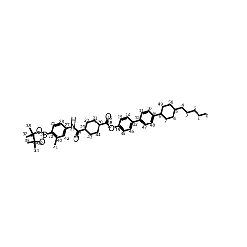 CCCCCC1CCC(c2ccc(-c3ccc(OC(=O)C4CCC(C(=O)Nc5ccc(B6OC(C)(C)C(C)(C)O6)c(C)c5)CC4)cc3)cc2)CC1